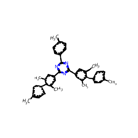 Cc1ccc(-c2nc(-c3cc(C)c(-c4ccc(C)cc4)c(C)c3)nc(-c3cc(C)c(-c4ccc(C)cc4)c(C)c3)n2)cc1